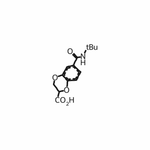 CC(C)(C)NC(=O)c1ccc2c(c1)OCC(C(=O)O)O2